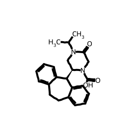 CC(C)N1C[C@H](C2c3ccccc3CCc3ccccc32)N(C(=O)O)CC1=O